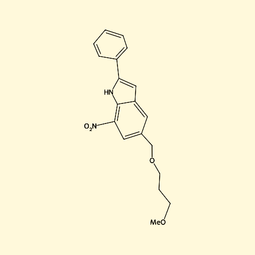 COCCCOCc1cc([N+](=O)[O-])c2[nH]c(-c3ccccc3)cc2c1